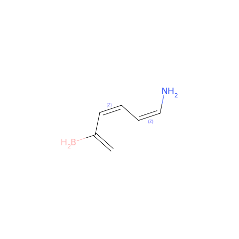 BC(=C)/C=C\C=C/N